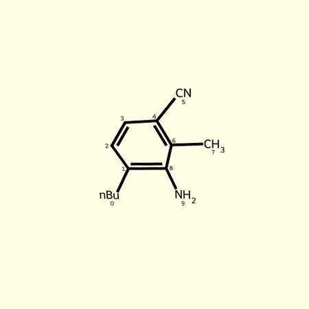 CCCCc1ccc(C#N)c(C)c1N